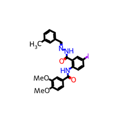 COc1ccc(C(=O)Nc2ccc(I)cc2C(=O)NN=Cc2cccc(C)c2)cc1OC